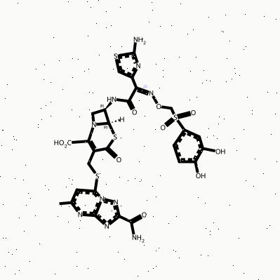 Cc1cc(SCC2=C(C(=O)O)N3C[C@@H](NC(=O)/C(=N\OCS(=O)(=O)c4ccc(O)c(O)c4)c4csc(N)n4)[C@H]3SC2=O)n2nc(C(N)=O)nc2n1